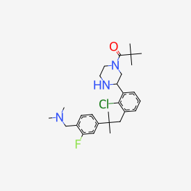 CN(C)Cc1ccc(C(C)(C)Cc2cccc(C3CN(C(=O)C(C)(C)C)CCN3)c2Cl)cc1F